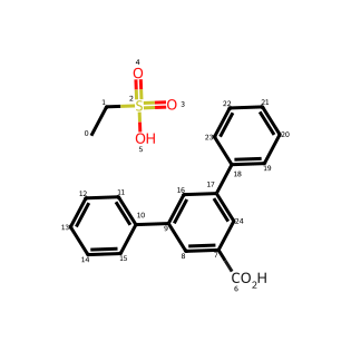 CCS(=O)(=O)O.O=C(O)c1cc(-c2ccccc2)cc(-c2ccccc2)c1